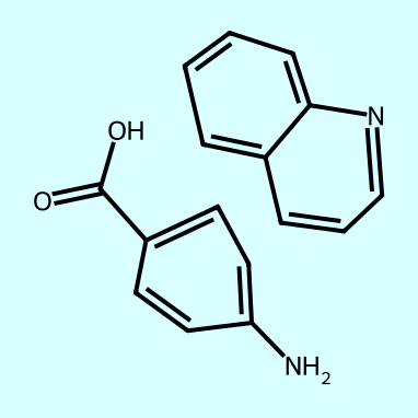 Nc1ccc(C(=O)O)cc1.c1ccc2ncccc2c1